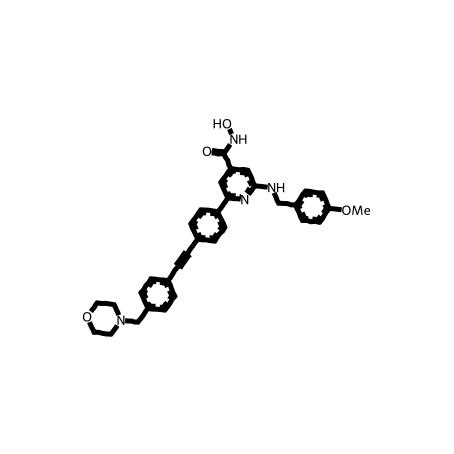 COc1ccc(CNc2cc(C(=O)NO)cc(-c3ccc(C#Cc4ccc(CN5CCOCC5)cc4)cc3)n2)cc1